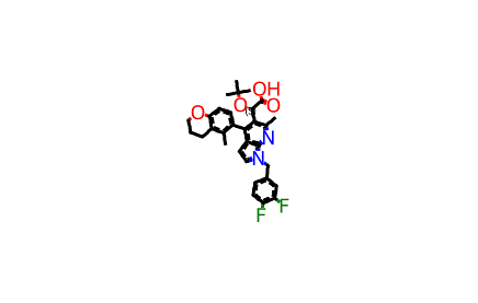 Cc1nc2c(ccn2Cc2ccc(F)c(F)c2)c(-c2ccc3c(c2C)CCCO3)c1[C@H](OC(C)(C)C)C(=O)O